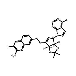 CC1(C)O[C@@H]2[C@H](O1)C(CCc1ccc3cc(F)c(N)nc3c1)=C[C@H]2n1ccc2c(Cl)ncnc21